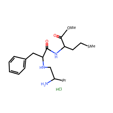 COC(=O)C(CCSC)NC(=O)C(Cc1ccccc1)NCC(N)C(C)C.Cl